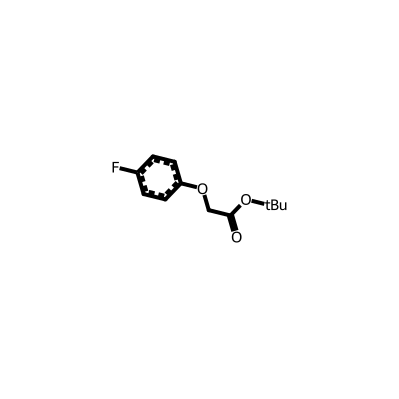 CC(C)(C)OC(=O)COc1ccc(F)cc1